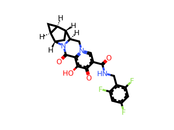 O=C(NCc1c(F)cc(F)cc1F)c1cn2c(c(O)c1=O)C(=O)N1[C@H](C2)[C@@H]2C[C@H]1[C@H]1C[C@@H]21